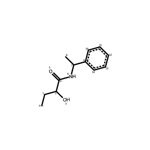 [CH2]CC(O)C(=O)NC(C)c1ccccc1